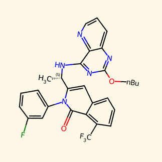 CCCCOc1nc(N[C@@H](C)c2cc3cccc(C(F)(F)F)c3c(=O)n2-c2cccc(F)c2)c2ncccc2n1